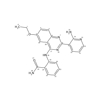 CCOc1ccc2nc(-c3cccnc3N)nc(Nc3ccccc3C(N)=O)c2c1